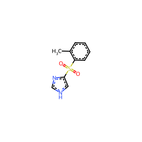 Cc1ccccc1S(=O)(=O)c1c[nH]cn1